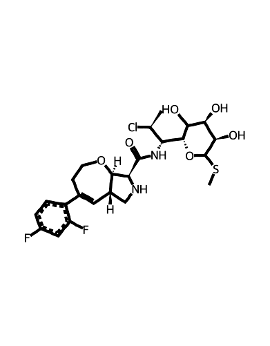 CSC1O[C@H]([C@H](NC(=O)[C@H]2NC[C@@H]3C=C(c4ccc(F)cc4F)CCO[C@@H]23)[C@H](C)Cl)C(O)[C@@H](O)[C@H]1O